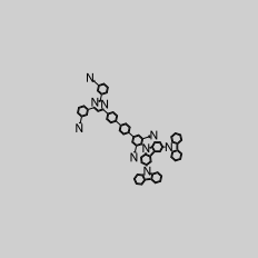 N#Cc1cccc(-c2cc(-c3ccc(-c4ccc(-c5cc(C#N)c(-n6c7ccc(-n8c9ccccc9c9ccccc98)cc7c7cc(-n8c9ccccc9c9ccccc98)ccc76)c(C#N)c5)cc4)cc3)nc(-c3cccc(C#N)c3)n2)c1